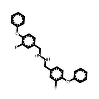 Fc1cc(CNNCc2ccc(Oc3ccccc3)c(F)c2)ccc1Oc1ccccc1